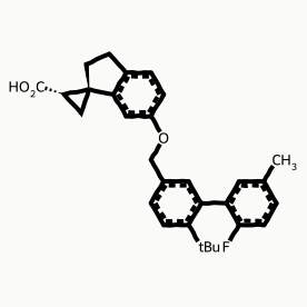 Cc1ccc(F)c(-c2cc(COc3ccc4c(c3)[C@]3(CC4)C[C@@H]3C(=O)O)ccc2C(C)(C)C)c1